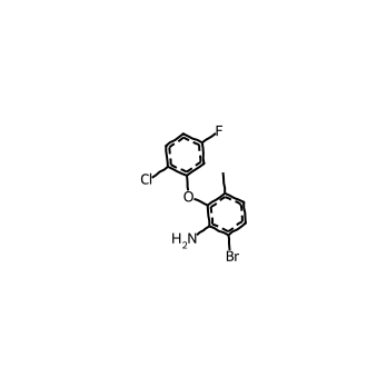 Cc1ccc(Br)c(N)c1Oc1cc(F)ccc1Cl